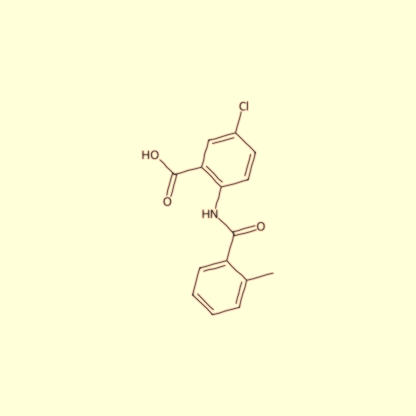 Cc1ccccc1C(=O)Nc1ccc(Cl)cc1C(=O)O